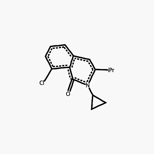 CC(C)c1cc2cccc(Cl)c2c(=O)n1C1CC1